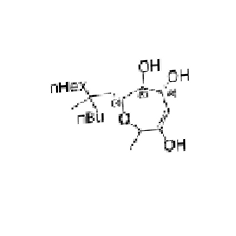 CCCCCCC(C)(CCCC)C[C@H]1OC(C)C(O)=C[C@@H](O)[C@@H]1O